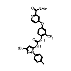 CNC(=O)c1cc(Oc2ccc(NC(=O)Nc3cc(C(C)(C)C)nn3-c3ccc(C)cc3)c(C(F)(F)F)c2)ccn1